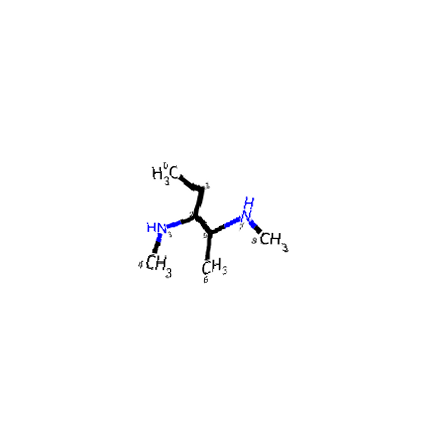 CCC(NC)C(C)NC